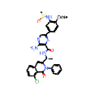 COc1ccc(-c2cnc(N)c(C(=O)N[C@@H](C)c3cc4cccc(Cl)c4c(=O)n3-c3ccccc3)n2)cc1N[S+](C)[O-]